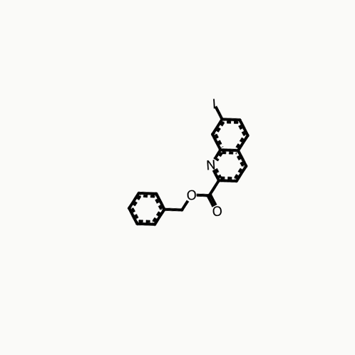 O=C(OCc1ccccc1)c1ccc2ccc(I)cc2n1